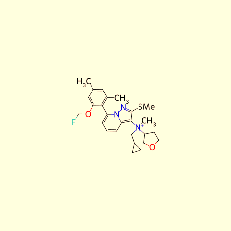 CSc1nn2c(-c3c(C)cc(C)cc3OCF)cccc2c1[N+](C)(CC1CC1)C1CCOC1